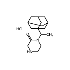 CC(N1CCNCC1=O)C12CC3CC(CC(C3)C1)C2.Cl